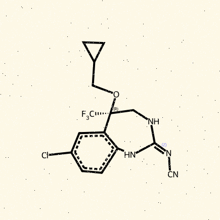 N#C/N=C1/NC[C@@](OCC2CC2)(C(F)(F)F)c2cc(Cl)ccc2N1